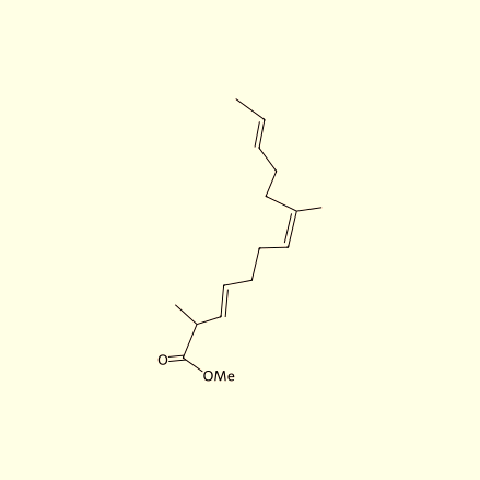 CC=CCCC(C)=CCCC=CC(C)C(=O)OC